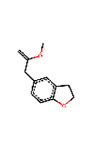 C=C(Cc1ccc2c(c1)CCO2)OC